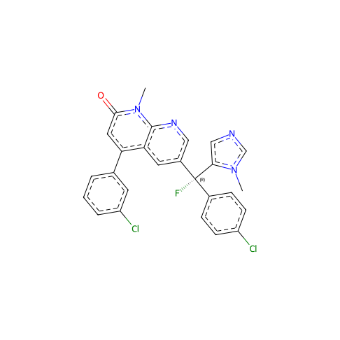 Cn1cncc1[C@@](F)(c1ccc(Cl)cc1)c1cnc2c(c1)c(-c1cccc(Cl)c1)cc(=O)n2C